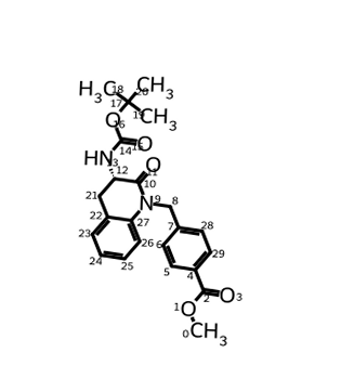 COC(=O)c1ccc(CN2C(=O)[C@@H](NC(=O)OC(C)(C)C)Cc3ccccc32)cc1